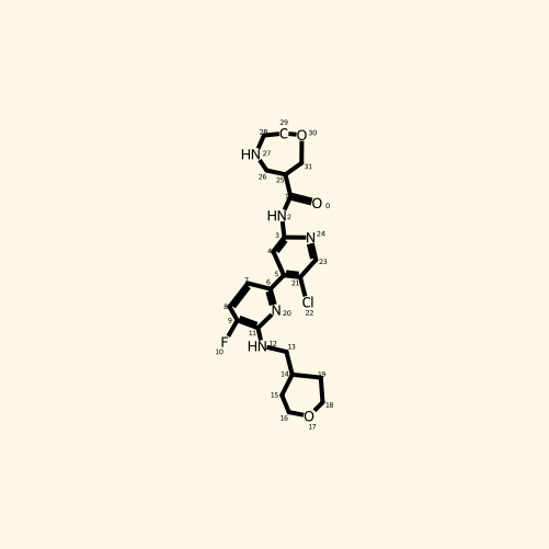 O=C(Nc1cc(-c2ccc(F)c(NCC3CCOCC3)n2)c(Cl)cn1)C1CNCCOC1